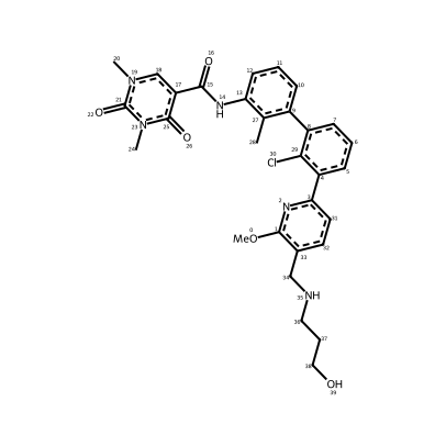 COc1nc(-c2cccc(-c3cccc(NC(=O)c4cn(C)c(=O)n(C)c4=O)c3C)c2Cl)ccc1CNCCCO